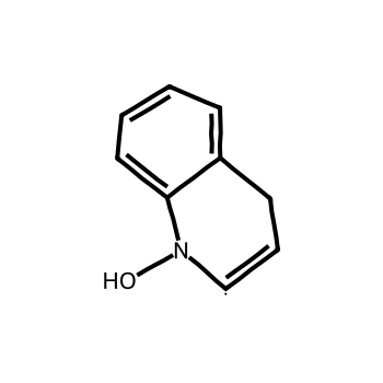 ON1[C]=CCc2ccccc21